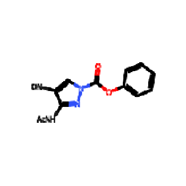 CC(=O)Nc1nn(C(=O)Oc2ccccc2)cc1N=O